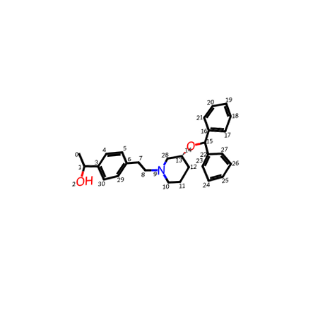 CC(O)c1ccc(CCN2CCC[C@@H](OC(c3ccccc3)c3ccccc3)C2)cc1